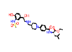 CCOC(=O)[C@H](CC(C)C)NC(=O)c1ccc(N2CCC(CNC[C@@H](O)c3ccc(O)c(NS(C)(=O)=O)c3)CC2)cc1